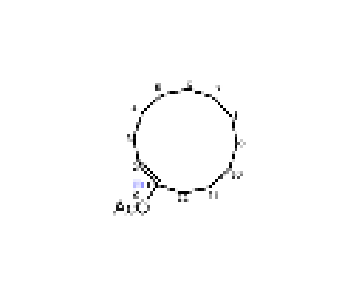 CC(=O)O/C1=C/CCCCCCCCCC1